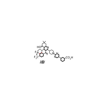 Br.Br.CC1(C)Cc2nc(C3CCN(c4ncc(-c5cccc(C(=O)O)c5)cn4)CC3)c([C@@H](F)c3ccc(C(F)(F)F)cc3)c(C3CCC(F)(F)CC3)c2[C@@H](O)C1